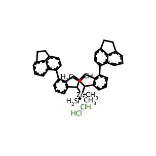 CC1=Cc2c(-c3ccc4c5c(cccc35)CC4)cccc2[CH]1[Zr]([CH3])([CH3])(=[SiH2])[CH]1C(C)=Cc2c(-c3ccc4c5c(cccc35)CC4)cccc21.Cl.Cl